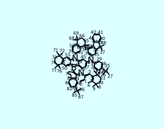 C=C/C(=C\C1=C(C)C(C)(C)CCC1(C)C)N1c2cc(N(c3ccc(C(C)(C)C)cc3)c3ccc4c(c3)C(C)(C)c3ccccc3-4)cc3c2B(c2cc4c(cc2N3c2ccc3c(c2)C(C)(C)CCC3(C)C)C(C)(C)CCC4(C)C)c2sc3ccc(C(C)(C)C)cc3c21